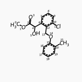 COC(=O)C(O)c1cccc(Cl)c1COc1ccccc1C